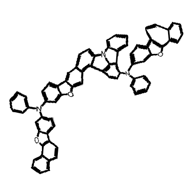 c1ccc(N(c2ccc3c(c2)oc2cc4c(ccc5c4c4ccc(N(c6ccccc6)c6ccc7c(c6)oc6c8ccccc8ccc76)c6c7ccccc7n5c46)cc23)c2ccc3c(c2)oc2c4ccccc4ccc32)cc1